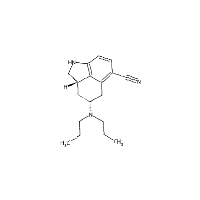 CCCN(CCC)[C@H]1Cc2c(C#N)ccc3c2[C@@H](CN3)C1